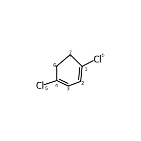 ClC1=CC=C(Cl)C[CH]1